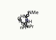 C=C(NC)c1ccc2c(/C=N/Nc3cc(OCCN4CCOCC4)nc(N(CCC)CCC)c3)c[nH]c2c1